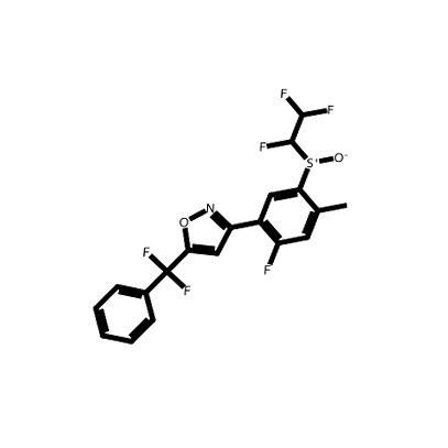 Cc1cc(F)c(-c2cc(C(F)(F)c3ccccc3)on2)cc1[S+]([O-])C(F)C(F)F